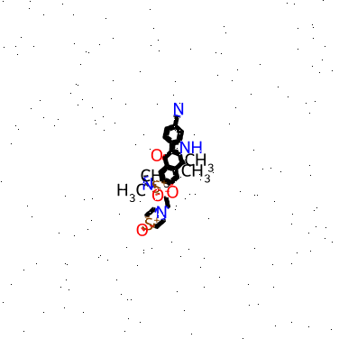 CN(C)[S+]([O-])c1cc2c(cc1OCCN1CC[S+]([O-])CC1)C(C)(C)c1[nH]c3cc(C#N)ccc3c1C2=O